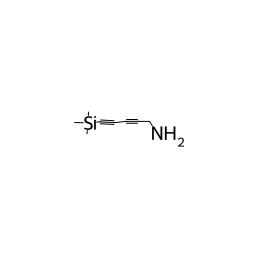 C[Si](C)(C)C#CC#CCN